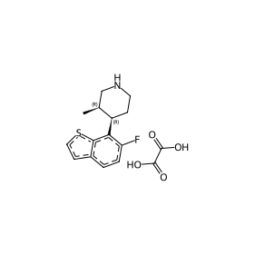 C[C@H]1CNCC[C@H]1c1c(F)ccc2ccsc12.O=C(O)C(=O)O